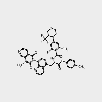 Cc1ccc(OC(=O)C(Cc2ccc(-n3c(=O)c4ccncc4n(C)c3=O)c3ncccc23)NC(=O)c2c(C)cc(N3CCOCC3C(F)(F)F)cc2F)cc1